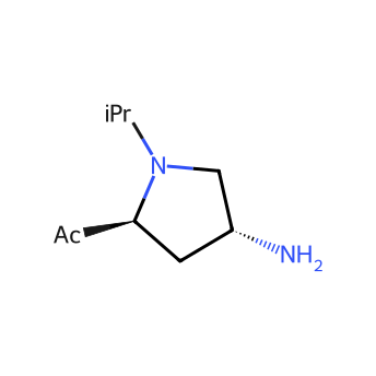 CC(=O)[C@@H]1C[C@@H](N)CN1C(C)C